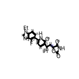 CCn1cnc2c(F)c(-c3ccc(C(/C=C4\OC(=O)NC4=O)C(C)C)c(=O)[nH]3)ccc21